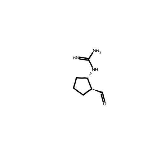 N=C(N)N[C@H]1CCC[C@@H]1C=O